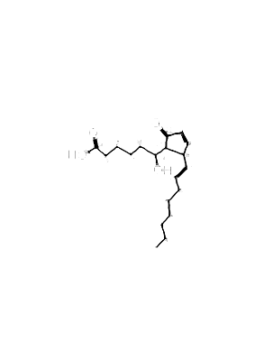 CCCCCC/C=C/C1C=CC(=O)C1C(O)CCCCC(=O)O